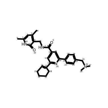 Cc1cc(C)c(CNC(=O)c2cc(C3=CCCCC3)nc(-c3ccc(CN(C)C)cc3)c2)c(=O)[nH]1